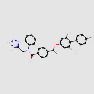 Cc1cc(OC(c2ccc(C(=O)N(Cc3nnn[nH]3)c3ccccc3)cc2)C(C)C)cc(C)c1-c1ccc(C(F)(F)F)cc1